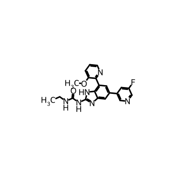 CCNC(=O)Nc1nc2cc(-c3cncc(F)c3)cc(-c3ncccc3OC)c2[nH]1